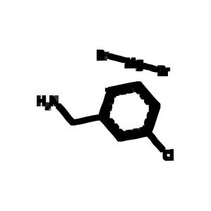 NCc1[c]ccc(Cl)c1.[Br][Mg][Br]